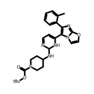 Cc1ccccc1-c1nc2occn2c1C1=CC=NC(NC2CCN(C(=O)OC(C)(C)C)CC2)N1